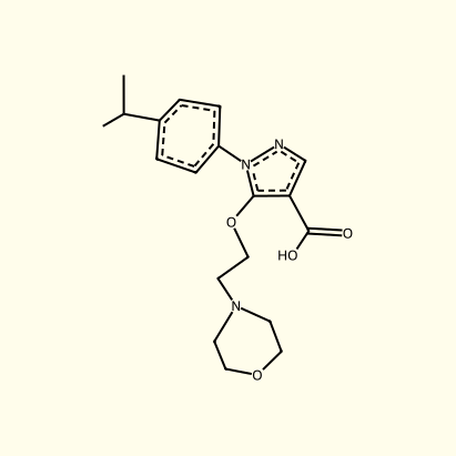 CC(C)c1ccc(-n2ncc(C(=O)O)c2OCCN2CCOCC2)cc1